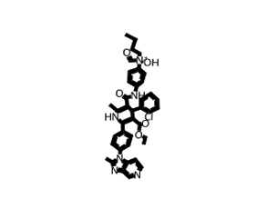 CCCC[N+](O)(C=O)c1ccc(NC(=O)C2=C(C)NC(c3ccc(-n4c(C)nc5cnccc54)cc3)=C(C(=O)OCC)C2c2ccccc2Cl)cc1